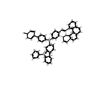 CC1C=CC(c2ccc(N(c3ccc(C=Cc4cccc5ccc6ccc7c(c6c45)CCC=C7)cc3)c3ccc4c5ccccc5n(-c5ccccc5)c4c3)cc2)=CC1